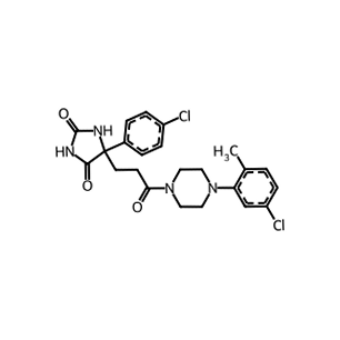 Cc1ccc(Cl)cc1N1CCN(C(=O)CCC2(c3ccc(Cl)cc3)NC(=O)NC2=O)CC1